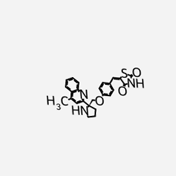 Cc1cc([C@]2(COc3ccc(C=C4SC(=O)NC4=O)cc3)CCCN2)nc2ccccc12